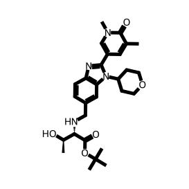 Cc1cc(-c2nc3ccc(CN[C@H](C(=O)OC(C)(C)C)[C@@H](C)O)cc3n2C2CCOCC2)cn(C)c1=O